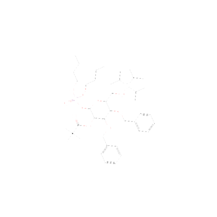 CCCCOP(=O)(OCCCC)OC1OC(CO[Si](C(C)C)(C(C)C)C(C)C)C(OCc2ccccc2)C(OCc2ccccc2)C1OC(=O)C(C)(C)C